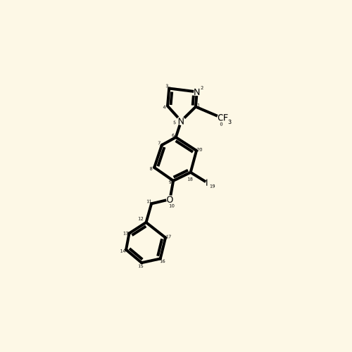 FC(F)(F)c1nccn1-c1ccc(OCc2ccccc2)c(I)c1